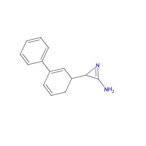 NC1=NC1C1C=C(c2ccccc2)C=CC1